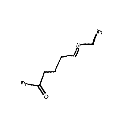 CC(C)CN=CCCCC(=O)C(C)C